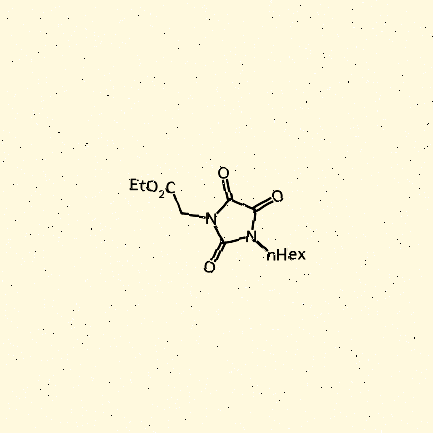 CCCCCCN1C(=O)C(=O)N(CC(=O)OCC)C1=O